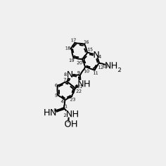 N=C(NO)c1ccc2nc(-c3cc(N)nc4ccccc34)[nH]c2c1